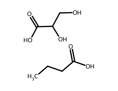 CCCC(=O)O.O=C(O)C(O)CO